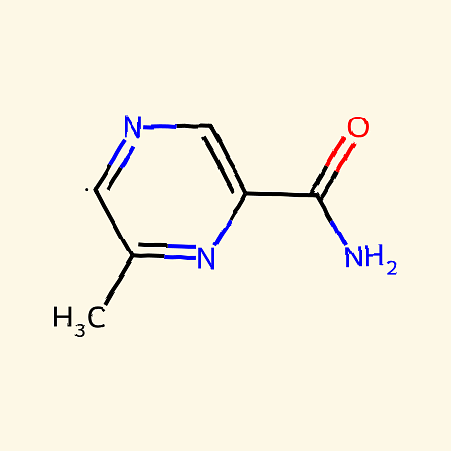 Cc1[c]ncc(C(N)=O)n1